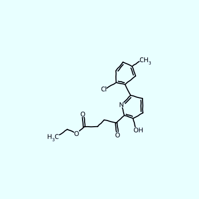 CCOC(=O)CCC(=O)c1nc(-c2cc(C)ccc2Cl)ccc1O